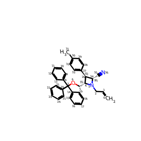 C=CCN1[C@H](COC(c2ccccc2)(c2ccccc2)c2ccccc2)[C@@H](c2ccc(C)cc2)[C@@H]1C#N